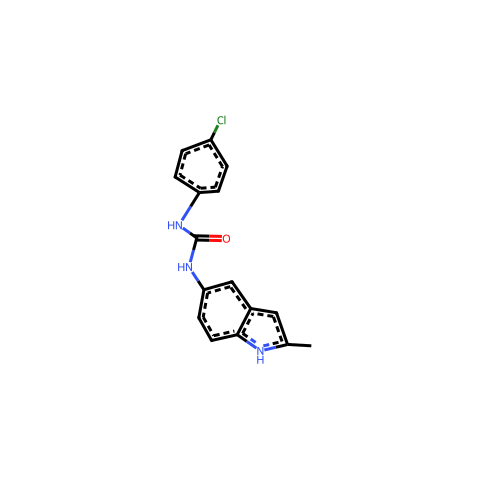 Cc1cc2cc(NC(=O)Nc3ccc(Cl)cc3)ccc2[nH]1